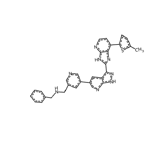 Cc1ccc(-c2ccnc3[nH]c(-c4n[nH]c5ncc(-c6cncc(CNCc7ccccc7)c6)cc45)nc23)s1